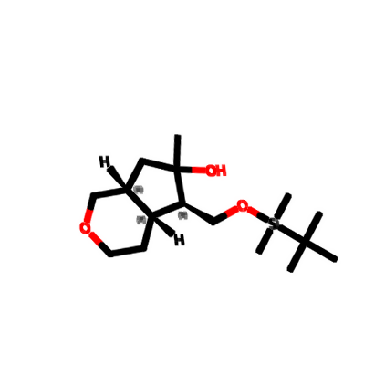 CC1(O)C[C@H]2COCC[C@H]2[C@@H]1CO[Si](C)(C)C(C)(C)C